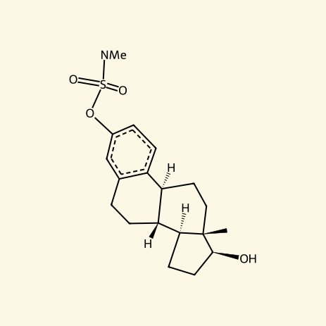 CNS(=O)(=O)Oc1ccc2c(c1)CC[C@@H]1[C@@H]2CC[C@]2(C)[C@@H](O)CC[C@@H]12